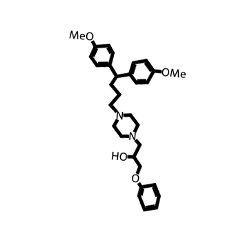 COc1ccc(C(CCCN2CCN(CC(O)COc3ccccc3)CC2)c2ccc(OC)cc2)cc1